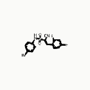 N#C/C(=C\c1ccc(F)cc1F)S(=O)(=O)Nc1ccc(Br)cc1